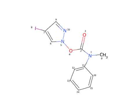 CN(C(=O)On1cc(I)cn1)c1ccccc1